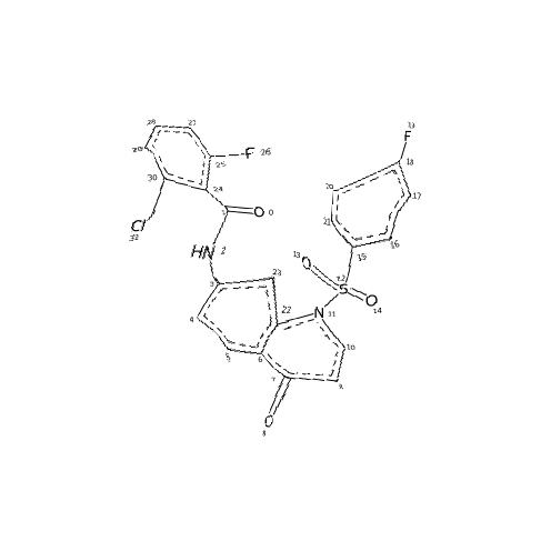 O=C(Nc1ccc2c(=O)ccn(S(=O)(=O)c3ccc(F)cc3)c2c1)c1c(F)cccc1Cl